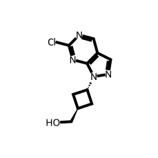 OC[C@H]1C[C@H](n2ncc3cnc(Cl)nc32)C1